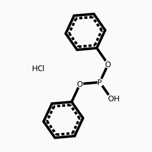 Cl.OP(Oc1ccccc1)Oc1ccccc1